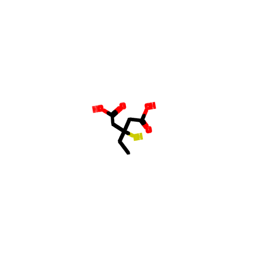 CCC(S)(CC(=O)O)CC(=O)O